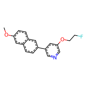 COc1ccc2cc(-c3cncc(OCCF)c3)ccc2c1